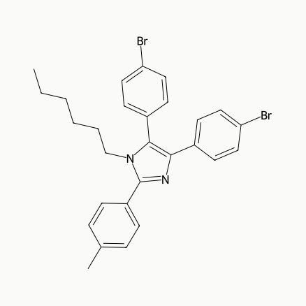 CCCCCCn1c(-c2ccc(C)cc2)nc(-c2ccc(Br)cc2)c1-c1ccc(Br)cc1